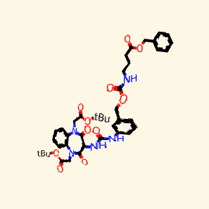 CC(C)(C)OC(=O)CN1C(=O)C(NC(=O)Nc2cccc(COC(=O)NCCCC(=O)OCc3ccccc3)c2)C(=O)N(CC(=O)OC(C)(C)C)c2ccccc21